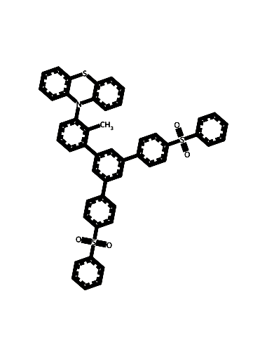 Cc1c(-c2cc(-c3ccc(S(=O)(=O)c4ccccc4)cc3)cc(-c3ccc(S(=O)(=O)c4ccccc4)cc3)c2)cccc1N1c2ccccc2Sc2ccccc21